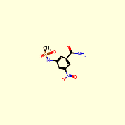 CS(=O)(=O)Nc1cc(C(N)=O)cc([N+](=O)[O-])c1